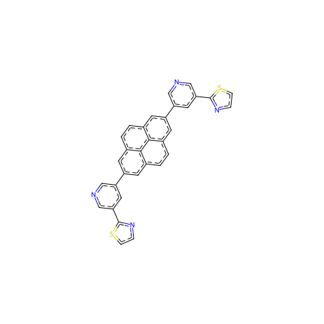 c1csc(-c2cncc(-c3cc4ccc5cc(-c6cncc(-c7nccs7)c6)cc6ccc(c3)c4c56)c2)n1